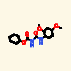 COc1ccc(NC(=O)NC(=O)Oc2ccccc2)c(OC)c1